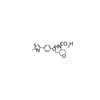 Cc1nc(-c2ccc(OCC3COCCC3NC(=O)O)cc2)cs1